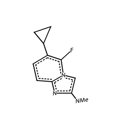 CNc1cn2c(F)c(C3CC3)ccc2n1